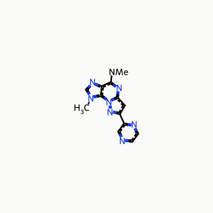 CNc1nc2cc(-c3cnccn3)nn2c2c1ncn2C